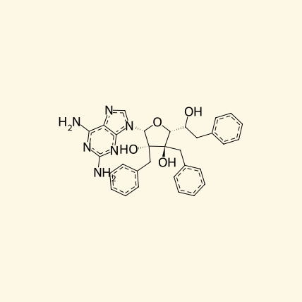 Nc1nc(N)c2ncn([C@@H]3O[C@H](C(O)Cc4ccccc4)[C@](O)(Cc4ccccc4)[C@@]3(O)Cc3ccccc3)c2n1